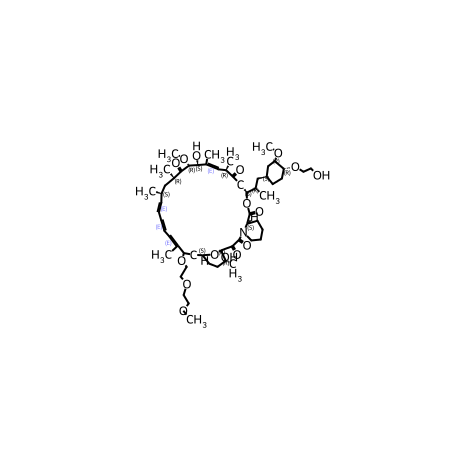 COCCOCCOC1C[C@@H]2CC[C@@H](C)[C@@](O)(O2)C(=O)C(=O)N2CCCC[C@H]2C(=O)O[C@H]([C@H](C)C[C@@H]2CC[C@@H](OCCO)[C@H](OC)C2)CC(=O)[C@H](C)/C=C(\C)[C@H](O)[C@@H](OC)C(=O)[C@H](C)C[C@H](C)/C=C/C=C/C=C/1C